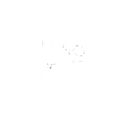 CCC(=O)N(OCC=NOC)c1ccccc1C